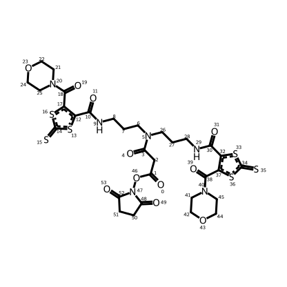 O=C(CC(=O)N(CCCNC(=O)c1sc(=S)sc1C(=O)N1CCOCC1)CCCNC(=O)c1sc(=S)sc1C(=O)N1CCOCC1)ON1C(=O)CCC1=O